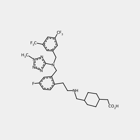 Cn1nnc(N(Cc2cc(C(F)(F)F)cc(C(F)(F)F)c2)Cc2cc(F)ccc2CCNCC2CCC(CC(=O)O)CC2)n1